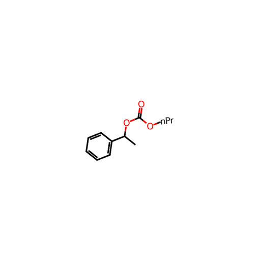 CCCOC(=O)OC(C)c1ccccc1